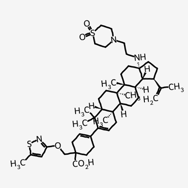 C=C(C)[C@@H]1CC[C@]2(NCCN3CCS(=O)(=O)CC3)CC[C@]3(C)[C@H](CC[C@@H]4[C@@]5(C)CC=C(C6=CCC(COc7cc(C)sn7)(C(=O)O)CC6)C(C)(C)[C@@H]5CC[C@]43C)[C@@H]12